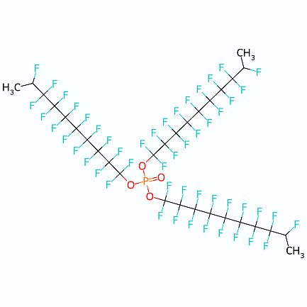 CC(F)C(F)(F)C(F)(F)C(F)(F)C(F)(F)C(F)(F)C(F)(F)C(F)(F)C(F)(F)OP(=O)(OC(F)(F)C(F)(F)C(F)(F)C(F)(F)C(F)(F)C(F)(F)C(F)(F)C(F)(F)C(C)F)OC(F)(F)C(F)(F)C(F)(F)C(F)(F)C(F)(F)C(F)(F)C(F)(F)C(F)(F)C(C)F